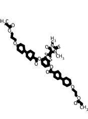 C=CC(=O)OCCCOC1CCC(C2CCC(C(=O)Oc3ccc(OC(=O)C4CCC(C5CCC(OCCCOC(=O)C=C)CC5)CC4)c4c3SC(=C3C(=O)N(C)C(=S)N3C)S4)CC2)CC1